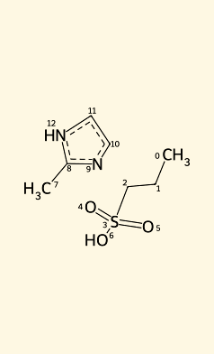 CCCS(=O)(=O)O.Cc1ncc[nH]1